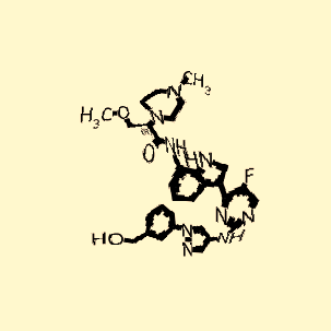 COC[C@H](C(=O)Nc1cccc2c(-c3nc(Nc4cnn(-c5cccc(CO)c5)c4)ncc3F)c[nH]c12)N1CCN(C)CC1